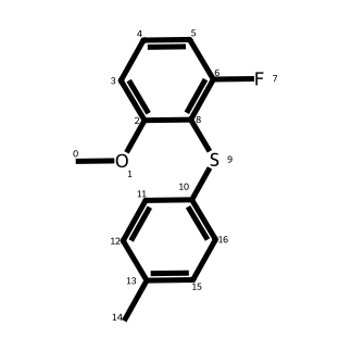 COc1cccc(F)c1Sc1ccc(C)cc1